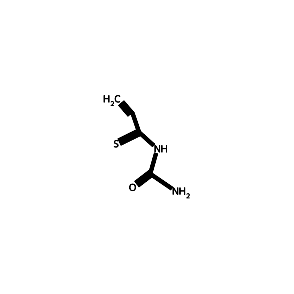 C=CC(=S)NC(N)=O